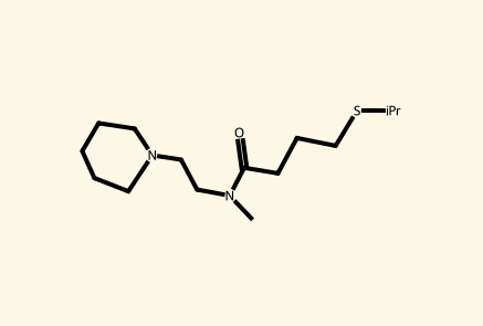 CC(C)SCCCC(=O)N(C)CCN1CCCCC1